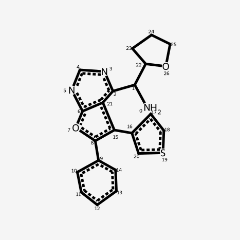 NC(c1ncnc2oc(-c3ccccc3)c(-c3ccsc3)c12)C1CCCO1